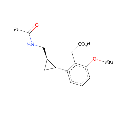 CCCCOc1cccc([C@@H]2C[C@H]2CNC(=O)CC)c1CC(=O)O